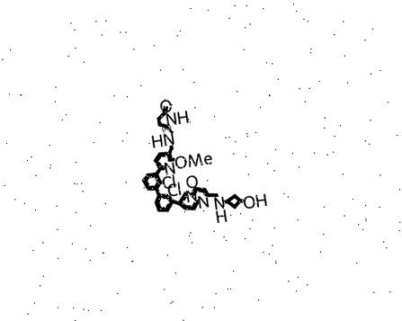 COc1nc(-c2cccc(-c3cccc(-c4ccc5nc(CNC6CC(O)C6)cc(=O)n5c4)c3Cl)c2Cl)ccc1CNC[C@H]1CCC(=O)N1